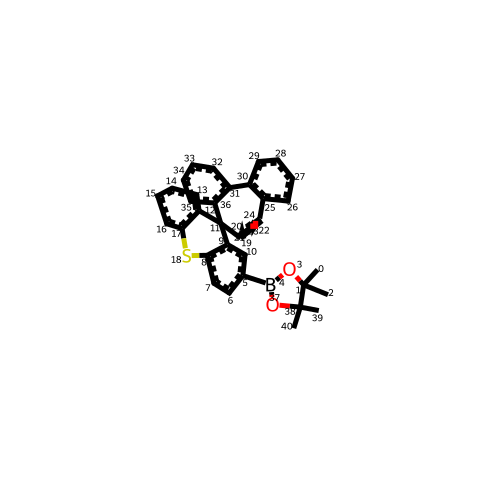 CC1(C)OB(c2ccc3c(c2)C2(c4ccccc4S3)c3ccccc3-c3ccccc3-c3ccccc32)OC1(C)C